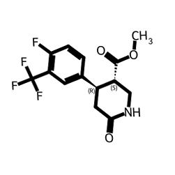 COC(=O)[C@@H]1CNC(=O)C[C@H]1c1ccc(F)c(C(F)(F)F)c1